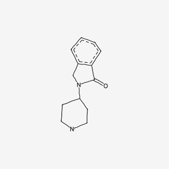 O=C1c2ccccc2CN1C1CC[N]CC1